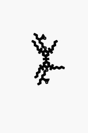 CCCCCC(C)(C)c1cc(C(C)(C)c2cc(C(C)(C)CCCCC)c(OCCCC(CCC)C3CO3)c(C(C)(C)CCCCC)c2)cc(C(C)(C)CCCCC)c1OCCCC(CCC)C1CO1